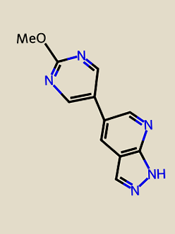 COc1ncc(-c2cnc3[nH]ncc3c2)cn1